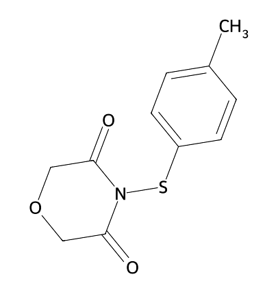 Cc1ccc(SN2C(=O)COCC2=O)cc1